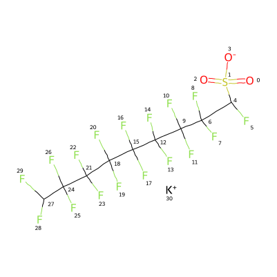 O=S(=O)([O-])C(F)C(F)(F)C(F)(F)C(F)(F)C(F)(F)C(F)(F)C(F)(F)C(F)(F)C(F)F.[K+]